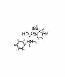 CC(C)(C)[C@]12C[C@@H]1C[C@H](CNCc1ccccc1)N2C(=O)O